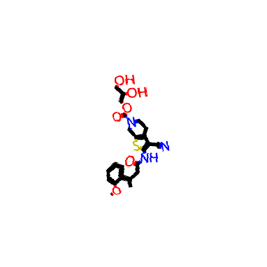 COc1ccccc1C(C)CC(=O)Nc1sc2c(c1C#N)CCN(C(=O)OCC(O)CO)C2